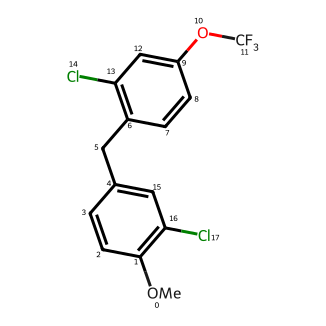 COc1ccc(Cc2ccc(OC(F)(F)F)cc2Cl)cc1Cl